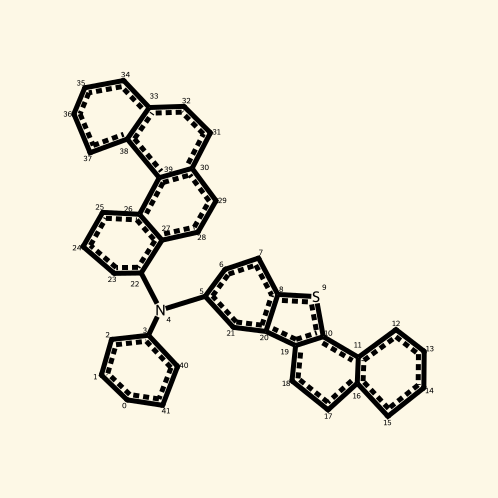 c1ccc(N(c2ccc3sc4c5ccccc5ccc4c3c2)c2cccc3c2ccc2ccc4ccccc4c23)cc1